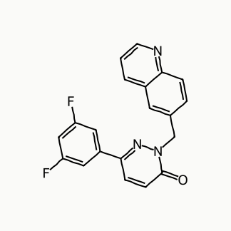 O=c1ccc(-c2cc(F)cc(F)c2)nn1Cc1ccc2ncccc2c1